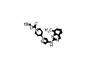 Cc1cccc2cnc(Nc3cnn(C4CCN(C(=O)OC(C)(C)C)CC4)c3)nc12